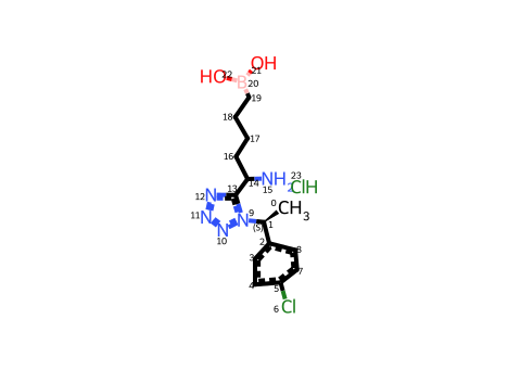 C[C@@H](c1ccc(Cl)cc1)n1nnnc1C(N)CCCCB(O)O.Cl